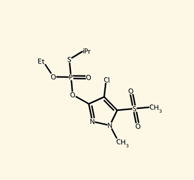 CCOP(=O)(Oc1nn(C)c(S(C)(=O)=O)c1Cl)SC(C)C